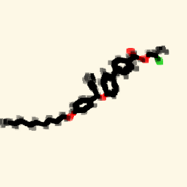 C#CC(Oc1ccc(-c2ccc(C(=O)OC[C@H](C)Cl)cc2)cc1)c1ccc(OCCCCCCCCC)cc1